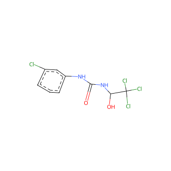 O=C(Nc1cccc(Cl)c1)NC(O)C(Cl)(Cl)Cl